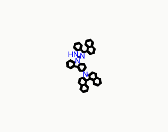 c1ccc2c(c1)NC(n1c3ccccc3c3cc(-n4c5ccc6ccccc6c5c5c6ccccc6ccc54)ccc31)N=C2c1cccc2ccccc12